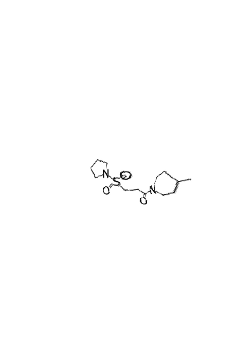 CC1CCN(C(=O)CCS(=O)(=O)N2CCCC2)CC1